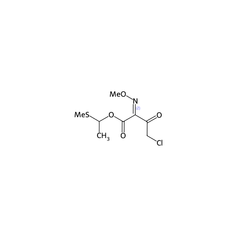 CO/N=C(/C(=O)CCl)C(=O)OC(C)SC